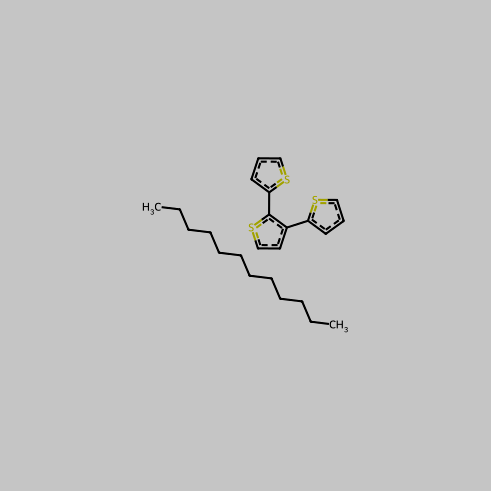 CCCCCCCCCCCC.c1csc(-c2ccsc2-c2cccs2)c1